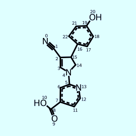 N#CC1=CN(c2cc(C(=O)O)ccn2)CC1c1ccc(O)cc1